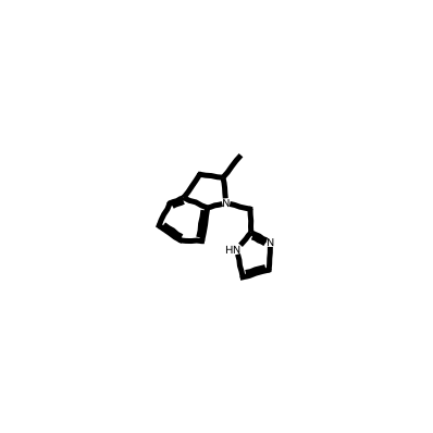 CC1Cc2ccccc2N1Cc1ncc[nH]1